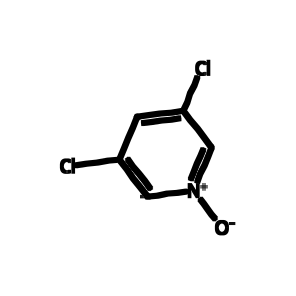 [O-][n+]1[c]c(Cl)cc(Cl)c1